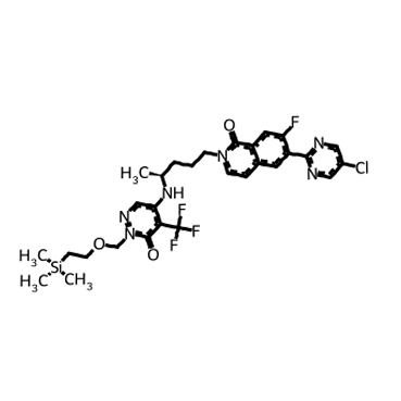 C[C@@H](CCCn1ccc2cc(-c3ncc(Cl)cn3)c(F)cc2c1=O)Nc1cnn(COCC[Si](C)(C)C)c(=O)c1C(F)(F)F